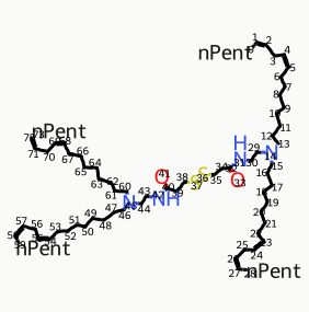 CCCCC/C=C\C/C=C\CCCCCCCCN(CCCCCCCC/C=C\C/C=C\CCCCC)CCNC(=O)CCSSCCC(=O)NCCN(CCCCCCCC/C=C\C/C=C\CCCCC)CCCCCCCC/C=C\C/C=C\CCCCC